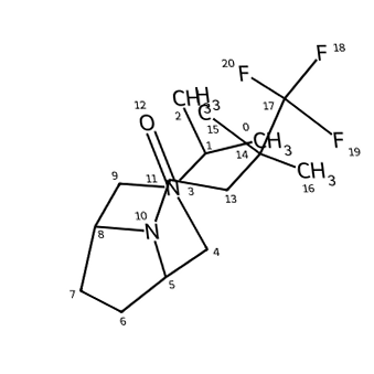 CC(C)N1CC2CCC(C1)N2C(=O)CC(C)(C)C(F)(F)F